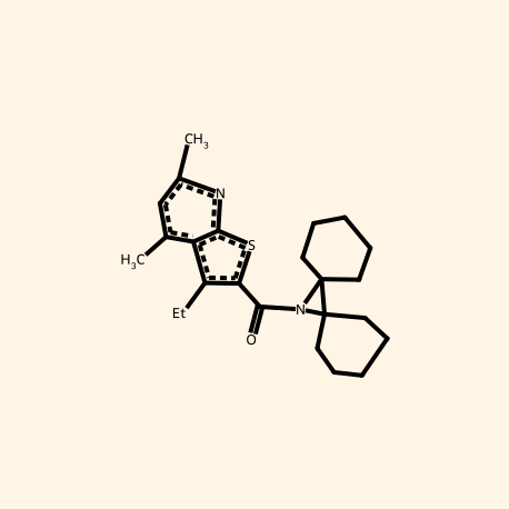 CCc1c(C(=O)N2C3(CCCCC3)C23CCCCC3)sc2nc(C)cc(C)c12